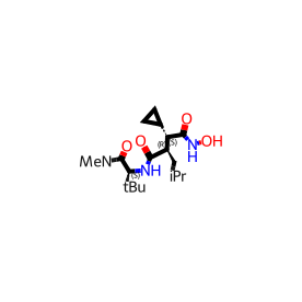 CNC(=O)[C@@H](NC(=O)[C@H](CC(C)C)[C@@H](C(=O)NO)C1CC1)C(C)(C)C